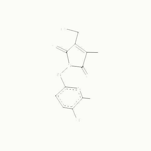 CC1=C(CC(C)C)C(=O)N(Nc2ccc(C(F)(F)F)c(Cl)n2)C1=O